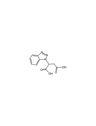 O=C(O)CC(C(=O)O)n1nnc2ccccc21